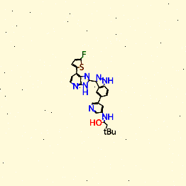 CC(C)(C)CC(O)Nc1cncc(-c2ccc3[nH]nc(-c4nc5c(-c6ccc(F)s6)ccnc5[nH]4)c3c2)c1